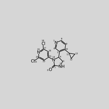 O=C1NCC(c2cnccc2C2CC2)N1c1cc(Cl)nc(Cl)c1